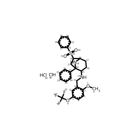 COc1ccc(OC(F)(F)F)cc1CNC1CCC2NC1(c1ccccc1)CC2S(=O)(=O)c1ccccc1.Cl.Cl